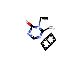 C=Cn1c(C(Cl)(Cl)Cl)ncnc1=O.c1cc2ccc1-2